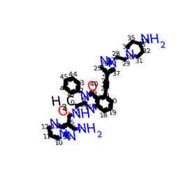 C[C@H](NC(=O)c1c(N)nn2cccnc12)c1nc2cccc(C#Cc3cnn(CCN4CCC(N)CC4)c3)c2c(=O)n1-c1ccccc1